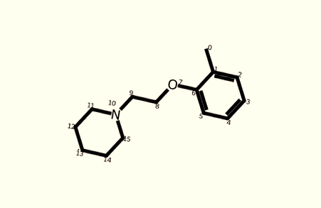 Cc1ccccc1OCCN1CC[CH]CC1